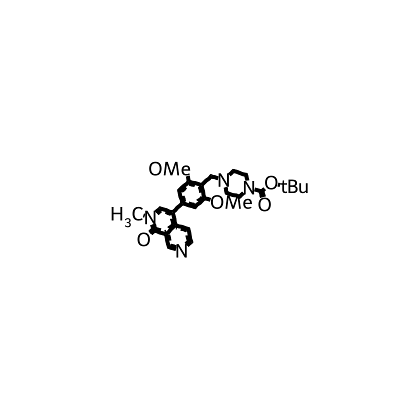 COc1cc(-c2cn(C)c(=O)c3cnccc23)cc(OC)c1CN1CCN(C(=O)OC(C)(C)C)CC1